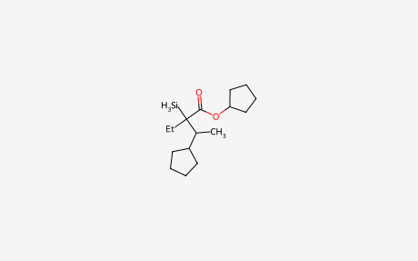 CCC([SiH3])(C(=O)OC1CCCC1)C(C)C1CCCC1